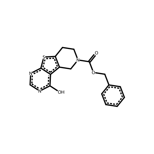 O=C(OCc1ccccc1)N1CCc2sc3ncnc(O)c3c2C1